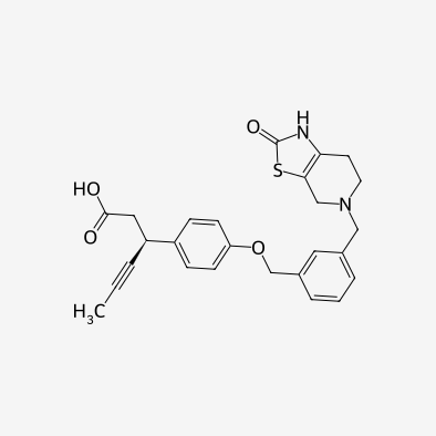 CC#C[C@@H](CC(=O)O)c1ccc(OCc2cccc(CN3CCc4[nH]c(=O)sc4C3)c2)cc1